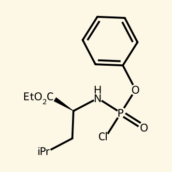 CCOC(=O)[C@H](CC(C)C)NP(=O)(Cl)Oc1ccccc1